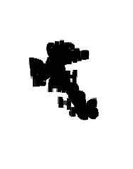 COc1ccc(C(OCC2OC(n3ccc(NC(=O)c4ccc(CNC(=O)Cc5ccc(OC(=O)OCCN(C)C(=O)OCC6c7ccccc7-c7ccccc76)cc5)cc4)nc3=O)CC2OP(OCCC#N)N(C(C)C)C(C)C)(c2ccccc2)c2ccc(OC)cc2)cc1